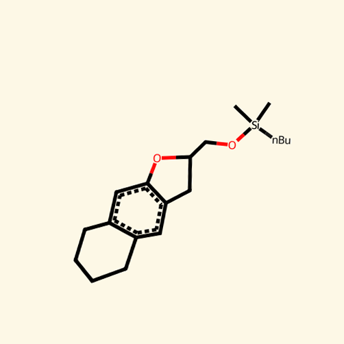 CCCC[Si](C)(C)OCC1Cc2cc3c(cc2O1)CCCC3